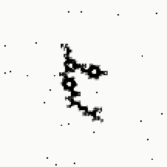 C[C@H](CCCNC(=N)N)NC(=O)c1ccc(Nc2nc(NCc3ccc(Cl)cc3)nc(OCC(F)(F)F)n2)cc1